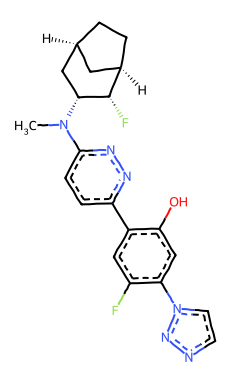 CN(c1ccc(-c2cc(F)c(-n3ccnn3)cc2O)nn1)[C@@H]1C[C@H]2CC[C@H](C2)[C@@H]1F